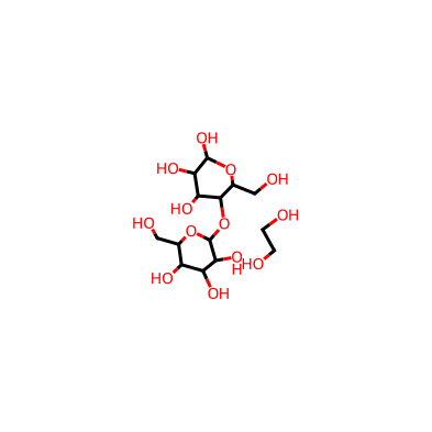 OCC1OC(OC2C(CO)OC(O)C(O)C2O)C(O)C(O)C1O.OCCO